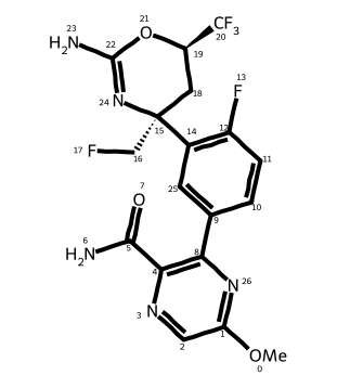 COc1cnc(C(N)=O)c(-c2ccc(F)c([C@]3(CF)C[C@H](C(F)(F)F)OC(N)=N3)c2)n1